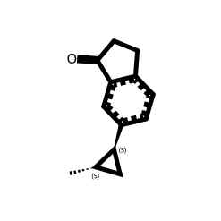 C[C@H]1C[C@@H]1c1ccc2c(c1)C(=O)CC2